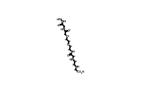 CCCNC(=O)CNC(=O)COCCOCCNC(=O)CNCCNCC(=O)O